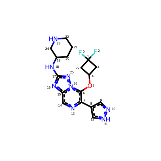 FC1(F)CC(Oc2c(-c3cn[nH]c3)ncc3nc(NC4CCCNC4)nn23)C1